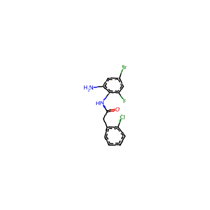 Nc1cc(Br)cc(F)c1NC(=O)Cc1ccccc1Cl